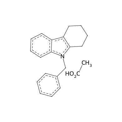 CC(=O)O.c1ccc(Cn2c3c(c4ccccc42)CCCC3)cc1